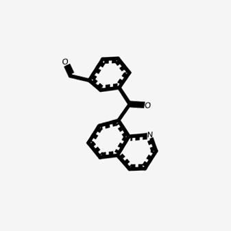 O=Cc1cccc(C(=O)c2cccc3cccnc23)c1